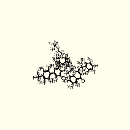 [2H]c1c([2H])c(F)c(F)c(C([2H])([2H])Sc2c([2H])c(=O)c3c([2H])c([2H])c([2H])c([2H])c3n2C([2H])([2H])C(=O)N(Cc2c([2H])c([2H])c(-c3c([2H])c([2H])c(C(F)(F)F)c([2H])c3[2H])c([2H])c2C)C2([2H])C([2H])([2H])C([2H])([2H])N(CCOC([2H])([2H])[2H])C([2H])([2H])C2([2H])[2H])c1[2H]